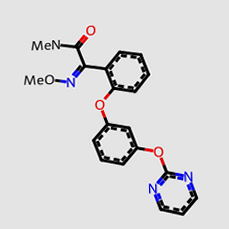 CNC(=O)/C(=N\OC)c1ccccc1Oc1cccc(Oc2ncccn2)c1